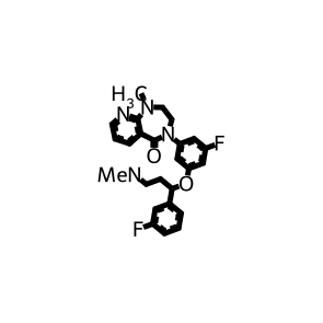 CNCCC(Oc1cc(F)cc(N2CCN(C)c3ncccc3C2=O)c1)c1cccc(F)c1